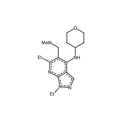 CCc1nc2c(cnn2CC)c(NC2CCOCC2)c1CNC